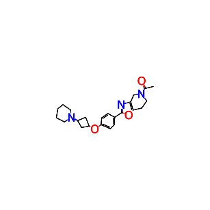 CC(=O)N1CCc2oc(-c3ccc(O[C@H]4C[C@H](N5CCCCC5)C4)cc3)nc2C1